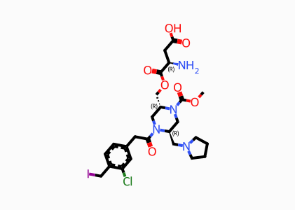 COC(=O)N1C[C@@H](CN2CCCC2)N(C(=O)Cc2ccc(CI)c(Cl)c2)C[C@@H]1COC(=O)[C@H](N)CC(=O)O